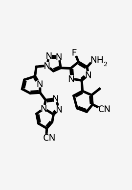 Cc1c(C#N)cccc1-c1nc(N)c(F)c(-c2cn(Cc3cccc(-c4nnc5cc(C#N)ccn45)n3)nn2)n1